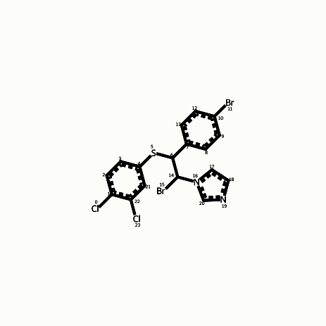 Clc1ccc(SC(c2ccc(Br)cc2)C(Br)n2ccnc2)cc1Cl